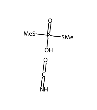 CSP(=O)(O)SC.N=C=O